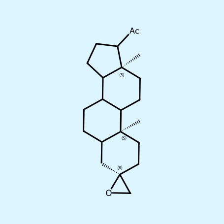 CC(=O)C1CCC2C3CCC4C[C@]5(CC[C@]4(C)C3CC[C@]12C)CO5